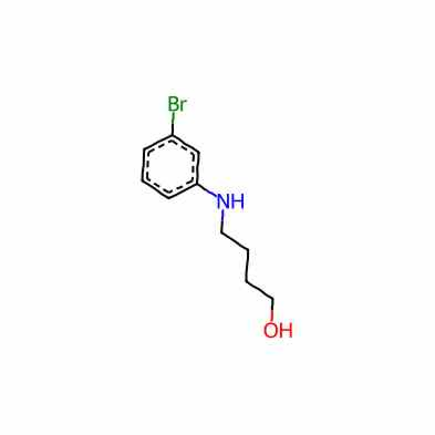 OCCCCNc1cccc(Br)c1